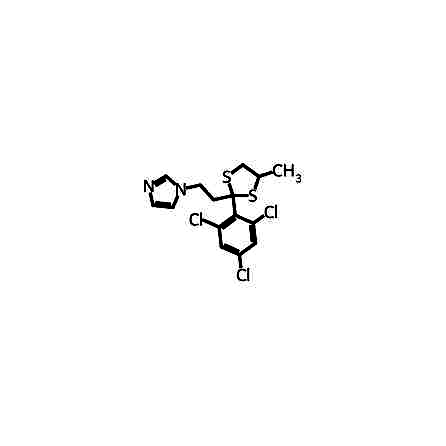 CC1CSC(CCn2ccnc2)(c2c(Cl)cc(Cl)cc2Cl)S1